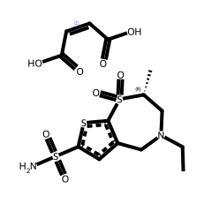 CCN1Cc2cc(S(N)(=O)=O)sc2S(=O)(=O)[C@H](C)C1.O=C(O)/C=C\C(=O)O